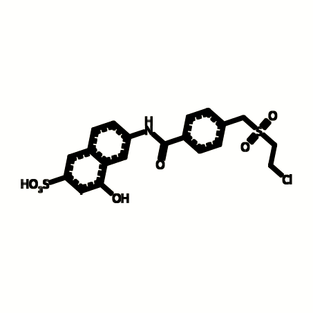 O=C(Nc1ccc2cc(S(=O)(=O)O)[c]c(O)c2c1)c1ccc(CS(=O)(=O)CCCl)cc1